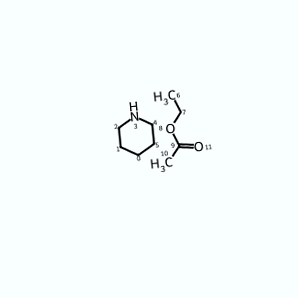 C1CCNCC1.CCOC(C)=O